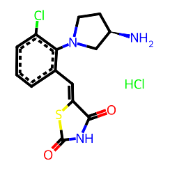 Cl.N[C@@H]1CCN(c2c(Cl)cccc2/C=C2\SC(=O)NC2=O)C1